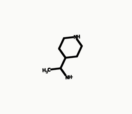 CC([NH])C1CCNCC1